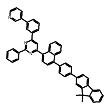 CC1(C)c2ccccc2-c2ccc(-c3ccc(-c4ccc(-c5cc(-c6cccc(-c7cccnc7)c6)nc(-c6ccccc6)n5)c5ccccc45)cc3)cc21